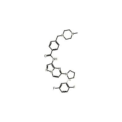 CN1CCN(Cc2ccc(C(=O)Nc3cnn4ccc(N5CCC[C@@H]5c5cc(F)ccc5F)nc34)cc2)CC1